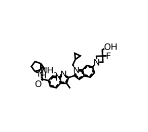 Cc1c(-c2cc3ccc(N4CC(F)(CO)C4)cc3n2CC2CC2)nn2cc(C(=O)N3CC4CCC3[C@@H]4N)ccc12